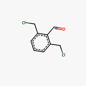 O=Cc1c(CCl)cccc1CCl